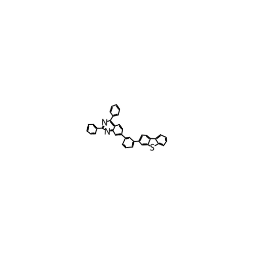 c1ccc(-c2nc(-c3ccccc3)c3ccc(-c4cccc(-c5ccc6c(c5)sc5ccccc56)c4)cc3n2)cc1